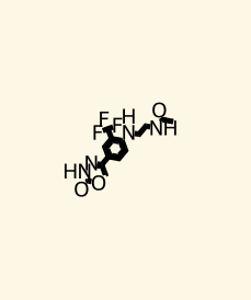 CC(=O)NCCNc1ccc(C2=NNC(=O)OC2)cc1C(F)(F)F